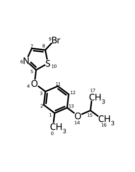 Cc1cc(Oc2ncc(Br)s2)ccc1OC(C)C